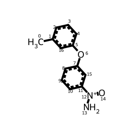 Cc1cccc(Oc2c[c]cc([N+](N)=O)c2)c1